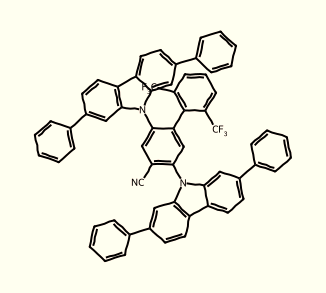 N#Cc1cc(-n2c3cc(-c4ccccc4)ccc3c3ccc(-c4ccccc4)cc32)c(-c2c(C(F)(F)F)cccc2C(F)(F)F)cc1-n1c2cc(-c3ccccc3)ccc2c2ccc(-c3ccccc3)cc21